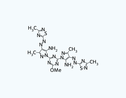 COc1nc(-n2nc(C)c(N=Nc3nc(C)ns3)c2N)nc(-n2nc(C)c(N=Nc3nc(C)ns3)c2N)n1